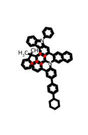 CC1(C)c2ccccc2-c2cc(N(c3ccc(-c4ccc(C5CCCCC5)cc4)cc3-c3ccccc3)c3cc4ccccc4cc3-c3ccc4c5ccccc5n(-c5ccccc5)c4c3)ccc21